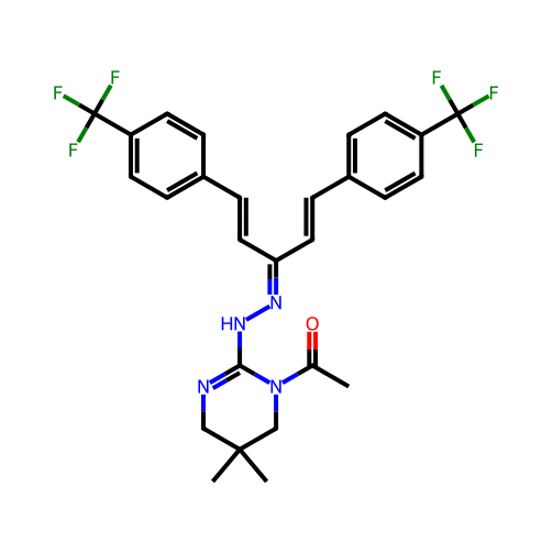 CC(=O)N1CC(C)(C)CN=C1NN=C(C=Cc1ccc(C(F)(F)F)cc1)C=Cc1ccc(C(F)(F)F)cc1